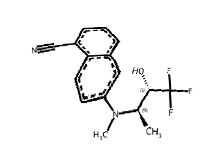 C[C@H]([C@H](O)C(F)(F)F)N(C)c1ccc2c(C#N)cccc2c1